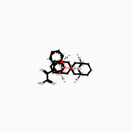 O=C(O)C(=O)c1cn([C@H]2C[C@H]3CCC[C@@H](C2)N3[C@H]2C[C@@H]3CCC[C@@H](C3)C2)c2ccccc12